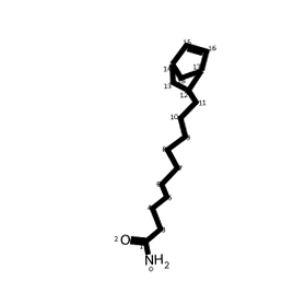 NC(=O)CCCCCCCCCC1CC2C=CC1C2